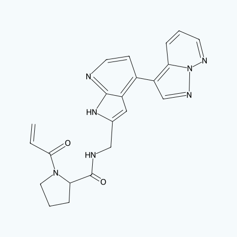 C=CC(=O)N1CCCC1C(=O)NCc1cc2c(-c3cnn4ncccc34)ccnc2[nH]1